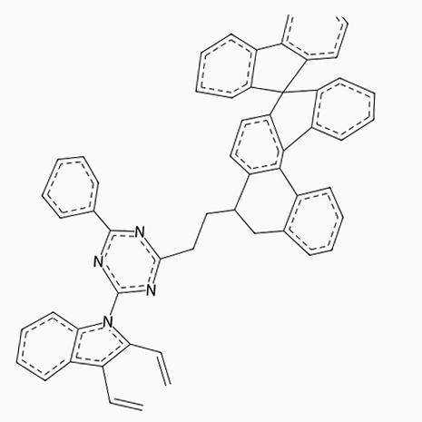 C=Cc1c(C=C)n(-c2nc(CCC3Cc4ccccc4-c4c3ccc3c4-c4ccccc4C34c3ccccc3-c3ccccc34)nc(-c3ccccc3)n2)c2ccccc12